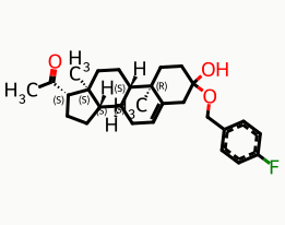 CC(=O)[C@H]1CC[C@H]2[C@@H]3CC=C4CC(O)(OCc5ccc(F)cc5)CC[C@]4(C)[C@H]3CC[C@]12C